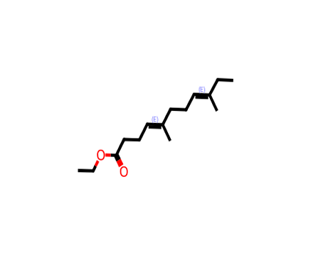 CCOC(=O)CC/C=C(\C)CC/C=C(\C)CC